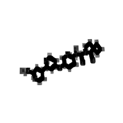 Cc1cc(-c2cc(Oc3ccc(NC(=O)N4CCC5(CCC5)C4=O)nc3)ccn2)ccn1